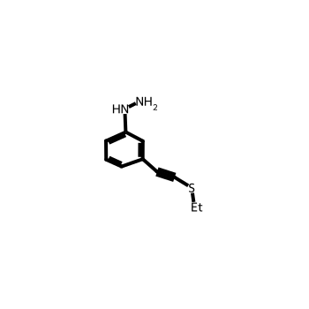 CCSC#Cc1cccc(NN)c1